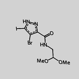 COC(CNC(=O)c1n[nH]c(I)c1Br)OC